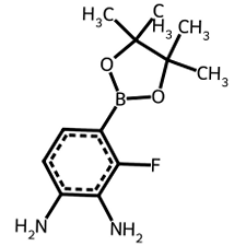 CC1(C)OB(c2ccc(N)c(N)c2F)OC1(C)C